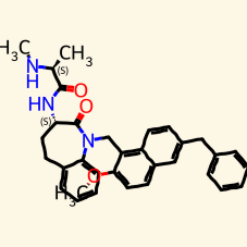 CN[C@@H](C)C(=O)N[C@H]1CCc2ccccc2N(Cc2c(OC)ccc3cc(Cc4ccccc4)ccc23)C1=O